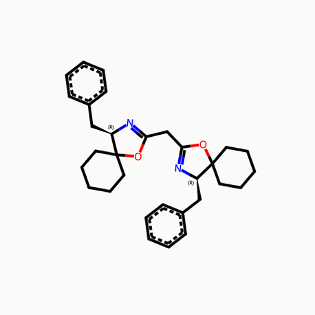 c1ccc(C[C@H]2N=C(CC3=N[C@H](Cc4ccccc4)C4(CCCCC4)O3)OC23CCCCC3)cc1